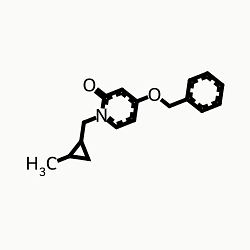 CC1CC1Cn1ccc(OCc2ccccc2)cc1=O